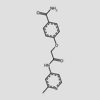 Cc1cc(NC(=O)COc2ccc(C(N)=O)cc2)ccn1